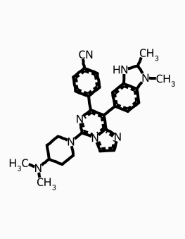 CC1Nc2cc(-c3c(-c4ccc(C#N)cc4)nc(N4CCC(N(C)C)CC4)n4ccnc34)ccc2N1C